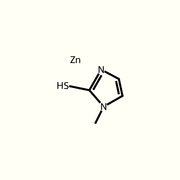 Cn1ccnc1S.[Zn]